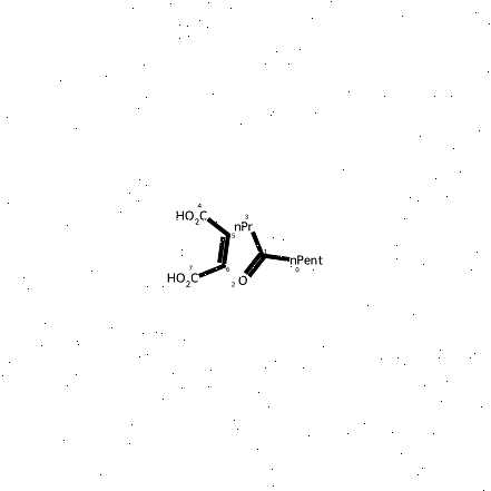 CCCCCC(=O)CCC.O=C(O)/C=C\C(=O)O